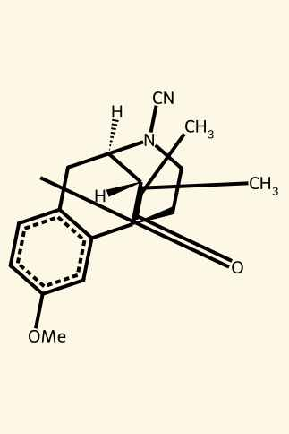 COc1ccc2c(c1)[C@]13CCN(C#N)[C@H](C2)[C@@H]1C(C)C(C)C(=O)C3